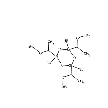 CCCOC(C)[Si]1(CC)O[Si](CC)(C(C)OCCC)O[Si](CC)(C(C)OCCC)O1